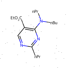 CCCCN(CCC)c1nc(CCC)ncc1C(=O)OCC